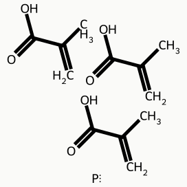 C=C(C)C(=O)O.C=C(C)C(=O)O.C=C(C)C(=O)O.[P]